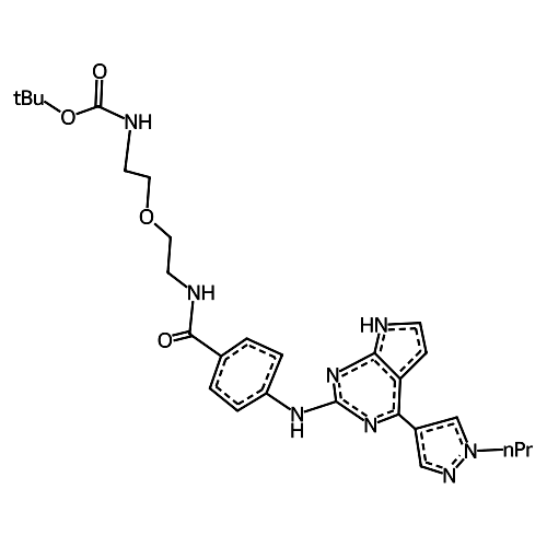 CCCn1cc(-c2nc(Nc3ccc(C(=O)NCCOCCNC(=O)OC(C)(C)C)cc3)nc3[nH]ccc23)cn1